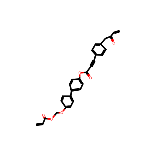 C=CC(=O)Cc1ccc(C#CC(=O)Oc2ccc(-c3ccc(OCOC(=O)C=C)cc3)cc2)cc1